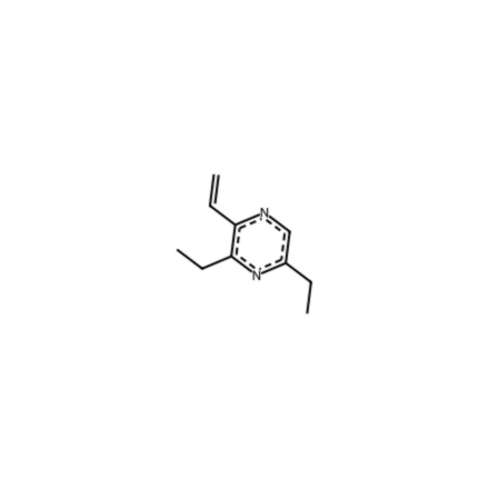 C=Cc1ncc(CC)nc1CC